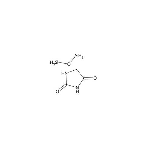 O=C1CNC(=O)N1.[SiH3]O[SiH3]